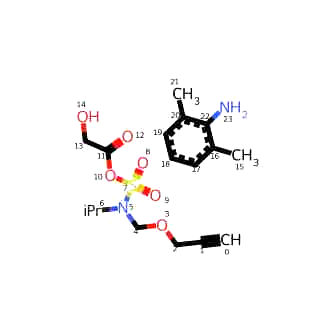 C#CCOCN(C(C)C)S(=O)(=O)OC(=O)CO.Cc1cccc(C)c1N